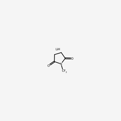 O=C1CCC(=O)N1C(F)(F)F.[LiH]